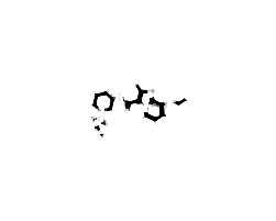 CCOc1cccn2c(C(=O)N[C@H]3CCCN(S(=O)(=O)NC)C3)c(C)nc12